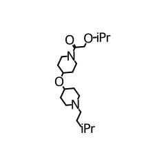 CC(C)CCN1CCC(OC2CCN(C(=O)COC(C)C)CC2)CC1